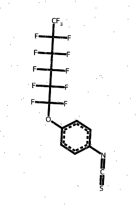 FC(F)(F)C(F)(F)C(F)(F)C(F)(F)C(F)(F)C(F)(F)Oc1ccc(N=C=S)cc1